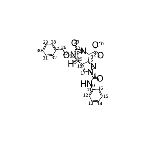 COC(=O)C1c2nn(C(=O)Nc3ccccc3)cc2[C@H]2CN1C(=O)N2OCc1ccccc1